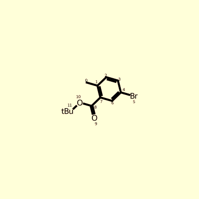 Cc1ccc(Br)cc1C(=O)OC(C)(C)C